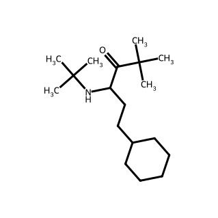 CC(C)(C)NC(CCC1CCCCC1)C(=O)C(C)(C)C